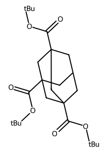 CC(C)(C)OC(=O)C12CC3CC(C(=O)OC(C)(C)C)(C1)CC(C(=O)OC(C)(C)C)(C3)C2